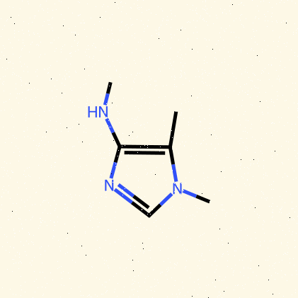 CNc1ncn(C)c1C